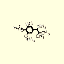 COc1ccc(C(N)C(C)C)cc1OC.Cl